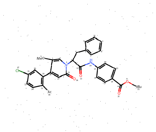 COc1cn(C(Cc2ccccc2)C(=O)Nc2ccc(C(=O)OC(C)(C)C)cc2)c(=O)cc1-c1cc(Cl)ccc1C(C)=O